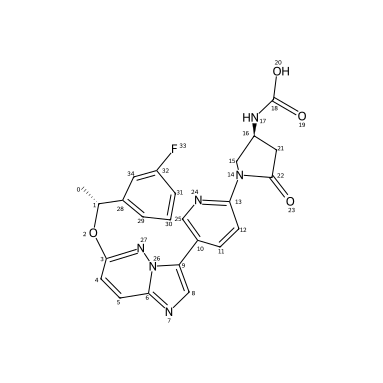 C[C@@H](Oc1ccc2ncc(-c3ccc(N4C[C@@H](NC(=O)O)CC4=O)nc3)n2n1)c1cccc(F)c1